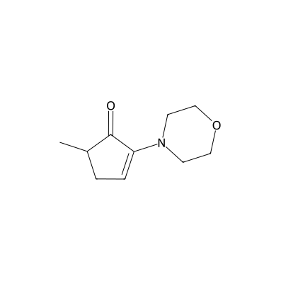 CC1CC=C(N2CCOCC2)C1=O